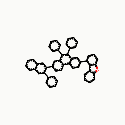 c1ccc(-c2cc3ccccc3cc2-c2ccc3c(c2)c(-c2ccccc2)c(-c2ccccc2)c2cc(-c4cccc5oc6ccccc6c45)ccc23)cc1